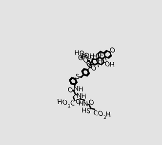 C[C@]12C=CC(=O)C=C1CC[C@H]1[C@@H]3C[C@H]4O[C@H](c5ccc(CSc6cccc(NC(=O)[C@H](CCC(=O)O)NC(=O)CNC(=O)C(S)CC(=O)O)c6)cc5)O[C@@]4(C(=O)COP(=O)(O)O)[C@@]3(C)C[C@H](O)[C@@]12F